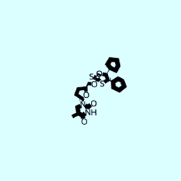 Cc1cn([C@H]2CC[C@@H](COP3(=S)O[C@H](c4ccccc4)[C@H](c4ccccc4)S3)O2)c(=O)[nH]c1=O